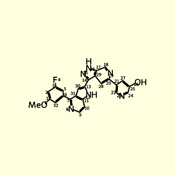 COc1cc(F)cc(-c2nccc3[nH]c(-c4n[nH]c5cnc(-c6cncc(O)c6)cc45)cc23)c1